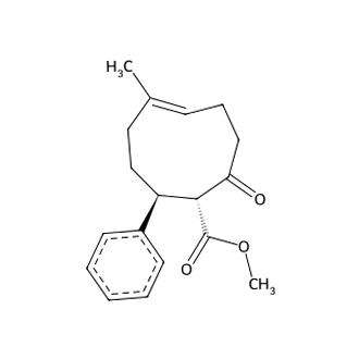 COC(=O)[C@H]1C(=O)CC/C=C(\C)CC[C@@H]1c1ccccc1